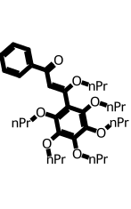 CCCOC(=CC(=O)c1ccccc1)c1c(OCCC)c(OCCC)c(OCCC)c(OCCC)c1OCCC